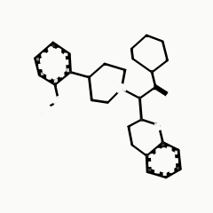 COc1ccccc1C1CCN(C(C(=O)C2CCCCC2)C2CCc3ccccc3N2)CC1